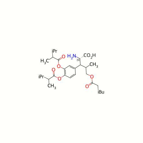 CCC(C)CC(=O)OCC(C)C(c1ccc(OC(=O)C(C)C(C)C)c(OC(=O)C(C)C(C)C)c1)[C@H](N)C(=O)O